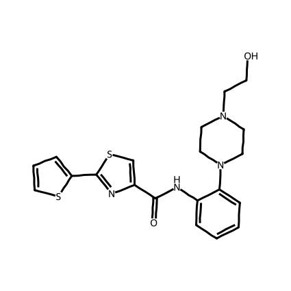 O=C(Nc1ccccc1N1CCN(CCO)CC1)c1csc(-c2cccs2)n1